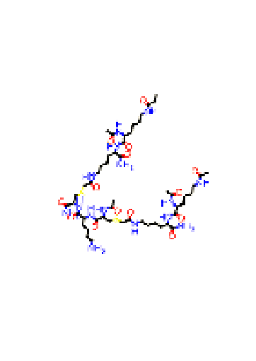 CCC(=O)NCCCCC(NC(C)=O)C(=O)NC(CCCCNC(=O)CSCC(NC(=O)C(CCCCN)NC(=O)C(CSCC(=O)NCCCCC(NC(=O)C(CCCCNC(C)=O)NC(C)=O)C(N)=O)NC(C)=O)C(N)=O)C(N)=O